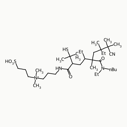 CCCCN(CC)C(=O)C(C)(CC(C)(CC)C(C)(C)C#N)C(CC)CC(C(=O)NCCC[N+](C)(C)CCCS(=O)(=O)O)C(C)(C)S